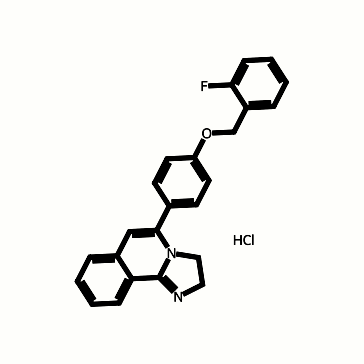 Cl.Fc1ccccc1COc1ccc(C2=Cc3ccccc3C3=NCCN23)cc1